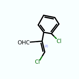 O=C/C(=C\Cl)c1ccccc1Cl